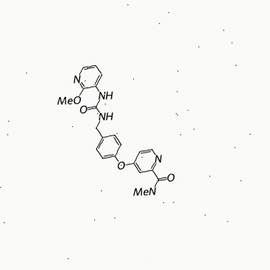 CNC(=O)c1cc(Oc2ccc(CNC(=O)Nc3cccnc3OC)cc2)ccn1